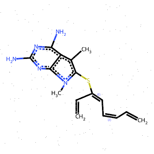 C=C/C=C\C=C(/C=C)Sc1c(C)c2c(N)nc(N)nc2n1C